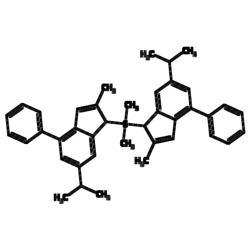 CC1=Cc2c(-c3ccccc3)cc(C(C)C)cc2C1S(C)(C)C1C(C)=Cc2c(-c3ccccc3)cc(C(C)C)cc21